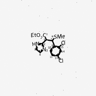 CCOC(=O)C(c1ncc[nH]1)C(SC)c1ccc(Cl)cc1Cl